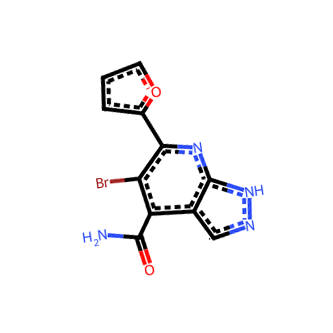 NC(=O)c1c(Br)c(-c2ccco2)nc2[nH]n[c]c12